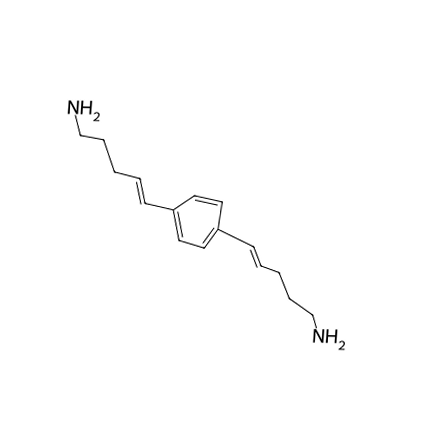 NCCCC=Cc1ccc(C=CCCCN)cc1